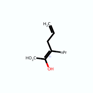 C=CC/C(CCC)=C(/O)C(=O)O